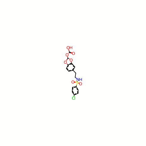 O=C(O)OC1Oc2ccc(CCNS(=O)(=O)c3ccc(Cl)cc3)cc2O1